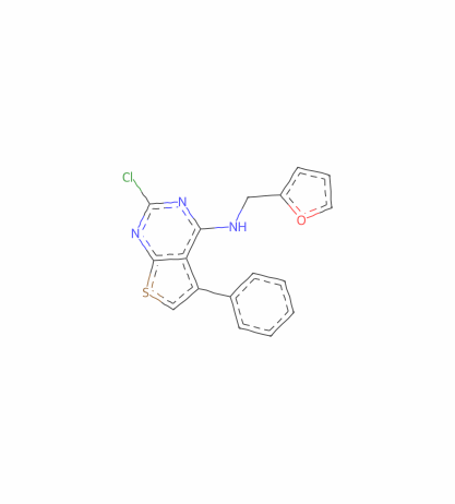 Clc1nc(NCc2ccco2)c2c(-c3ccccc3)csc2n1